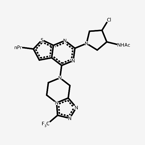 CCCc1cc2c(N3CCn4c(nnc4C(F)(F)F)C3)nc(N3CC(Cl)C(NC(C)=O)C3)nc2s1